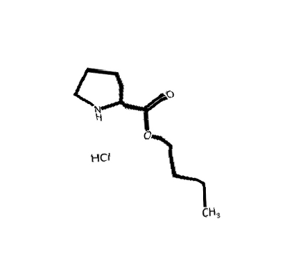 CCCCOC(=O)C1CCCN1.Cl